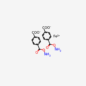 NOC(=O)c1ccc(C(=O)[O-])cc1.NOC(=O)c1ccc(C(=O)[O-])cc1.[Fe+2]